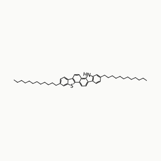 CCCCCCCCCCCCc1ccc2c(c1)[nH]c1c2ccc2c1ccc1c3ccc(CCCCCCCCCCCC)cc3sc12